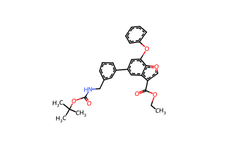 CCOC(=O)c1coc2c(Oc3ccccc3)cc(-c3cccc(CNC(=O)OC(C)(C)C)c3)cc12